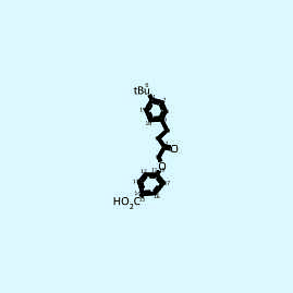 CC(C)(C)c1ccc(CCC(=O)COc2ccc(C(=O)O)cc2)cc1